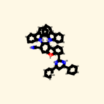 N#Cc1cc2oc3c(-c4nc(-c5ccccc5)cc(-c5ccccc5)n4)cccc3c2c(-n2c3ccccc3c3ccccc32)c1-n1c2ccccc2c2ccccc21